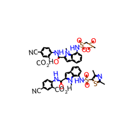 Cc1nc(C)c(S(=O)(=O)Nc2cccc3cc(C(=O)Nc4ccc(C#N)cc4C(=O)O)n(C)c23)s1.Cn1c(C(=O)Nc2ccc(C#N)cc2C(=O)O)cc2cccc(NS(=O)(=O)CS(C)(=O)=O)c21